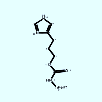 CCCCCNC(=O)OCCCc1c[nH]cn1